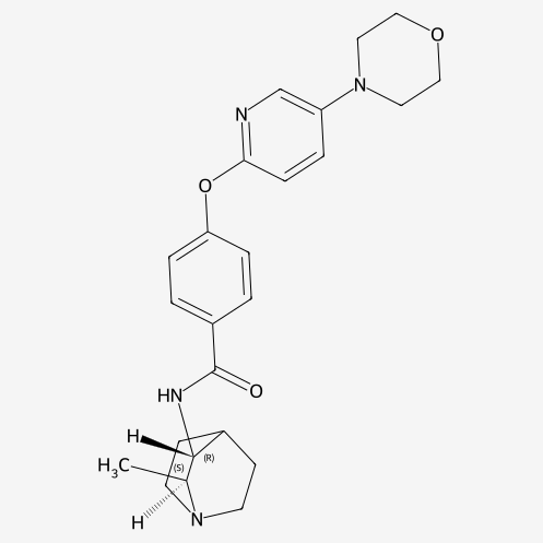 C[C@H]1[C@H](NC(=O)c2ccc(Oc3ccc(N4CCOCC4)cn3)cc2)C2CCN1CC2